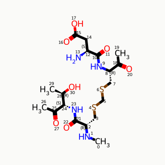 CN[C@@H](CSCSC[C@H](NC(=O)[C@@H](N)CC(=O)O)C(C)=O)C(=O)N[C@H](C(C)=O)[C@@H](C)O